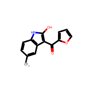 O=C(c1ccco1)c1c(O)[nH]c2ccc(C(F)(F)F)cc12